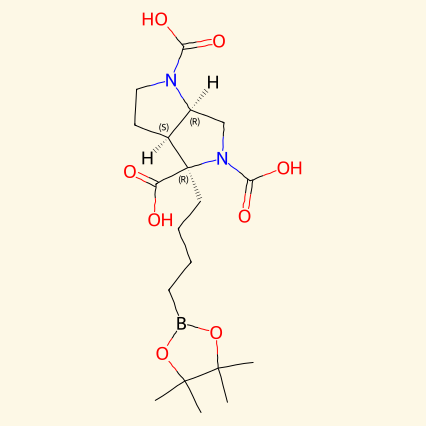 CC1(C)OB(CCCC[C@]2(C(=O)O)[C@H]3CCN(C(=O)O)[C@H]3CN2C(=O)O)OC1(C)C